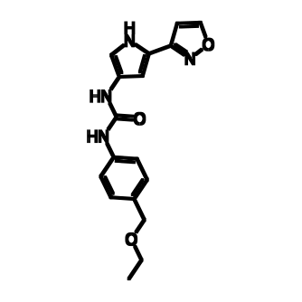 CCOCc1ccc(NC(=O)Nc2c[nH]c(-c3ccon3)c2)cc1